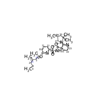 C=C/C=C(C)\C=C(/C)Oc1cccc(S(=O)(=O)NC(=O)c2cccnc2N2CC(C)CC2(C)C)n1